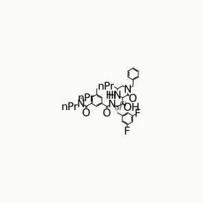 CCCC1CN(Cc2ccccc2)C(=O)C([C@@H](O)[C@H](Cc2cc(F)cc(F)c2)NC(=O)c2cc(C)cc(C(=O)N(CCC)CCC)c2)N1